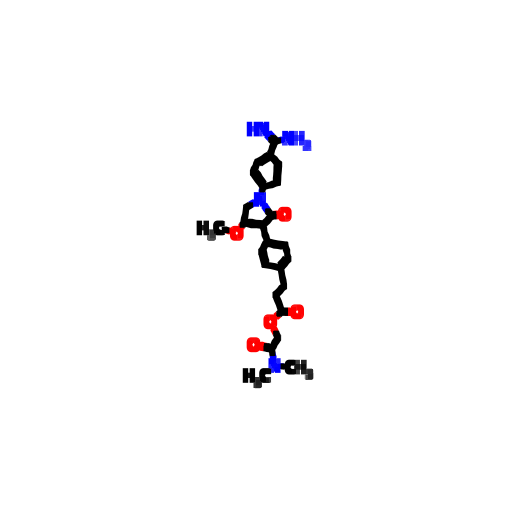 COC1=C(c2ccc(CCC(=O)OCC(=O)N(C)C)cc2)C(=O)N(c2ccc(C(=N)N)cc2)C1